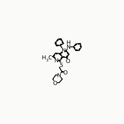 Cc1cc2c(c(SCC(=O)N3CCOCC3)n1)c(=O)cc(Nc1ccccc1)n2-c1ccccc1